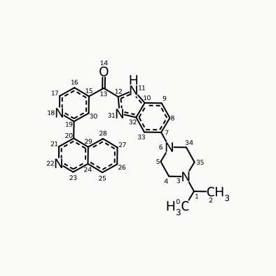 CC(C)N1CCN(c2ccc3[nH]c(C(=O)c4ccnc(-c5cncc6ccccc56)c4)nc3c2)CC1